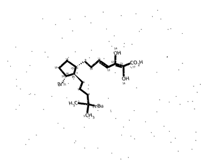 CCCCC(C)(C)CCC[C@@H]1[C@@H](CCC=CC(O)=C(O)C(=O)O)CC[C@H]1Br